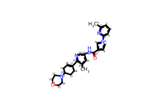 Cc1cccc(-n2ccc(C(=O)Nc3cnc(C4=CCC(N5CCOCC5)CC4)c(C)c3)c2)n1